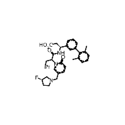 Cc1cccc(C)c1-c1cccc([C@H](CC(=O)O)NC(=O)C(CC(C)C)n2cc(CN3CC[C@@H](F)C3)ccc2=O)c1